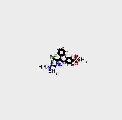 CN(C)CCn1nc(-c2ccc(S(C)(=O)=O)cc2)c(-c2ccccc2)c1C(F)(F)F